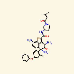 CC(C)=CC(=O)N1CCCC(NC(=O)c2sc3c(N)ccc4c3c2C(N)C(=O)C4(N)c2ccc(Oc3ccccc3)cc2C)C1